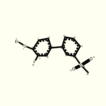 CCOc1ccc(-c2[c]c(S(C)(=O)=O)ccc2)cc1F